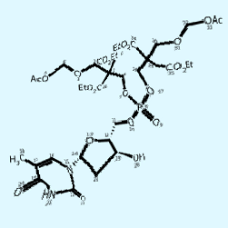 CCOC(=O)C(COCOC(C)=O)(COP(=O)(OC[C@H]1O[C@@H](n2cc(C)c(=O)[nH]c2=O)C[C@@H]1O)OCC(COCOC(C)=O)(C(=O)OCC)C(=O)OCC)C(=O)OCC